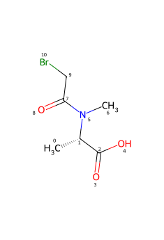 C[C@@H](C(=O)O)N(C)C(=O)CBr